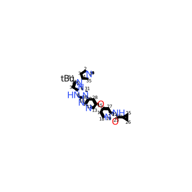 CN1CC[C@H](n2nc(Nc3nc4ncc(Oc5ccnc(NC(=O)C6CC6)c5)cc4n3C)cc2C(C)(C)C)C1